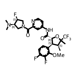 COc1c([C@H]2[C@H](C(=O)Nc3ccnc(C(=O)N4C[C@@H](N(C)C)[C@@H](F)C4)c3)O[C@@](C)(C(F)(F)F)[C@H]2C)ccc(F)c1F